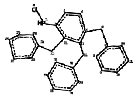 ClPc1ccc(Cc2ccccc2)c(Cc2ccccc2)c1Cc1ccccc1